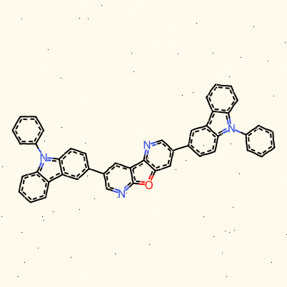 c1ccc(-n2c3ccccc3c3cc(-c4cnc5c(c4)oc4ncc(-c6ccc7c(c6)c6ccccc6n7-c6ccccc6)cc45)ccc32)cc1